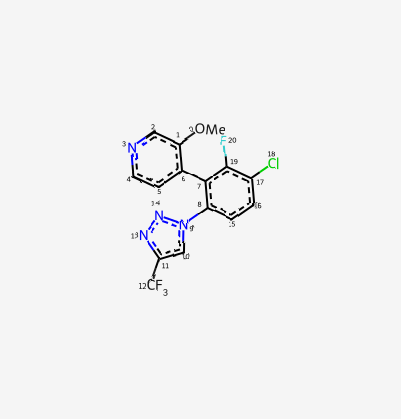 COc1cnccc1-c1c(-n2cc(C(F)(F)F)nn2)ccc(Cl)c1F